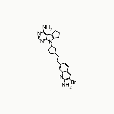 Nc1nc2cc(CCC3CCC(n4c5c(c6c(N)ncnc64)CCC5)C3)ccc2cc1Br